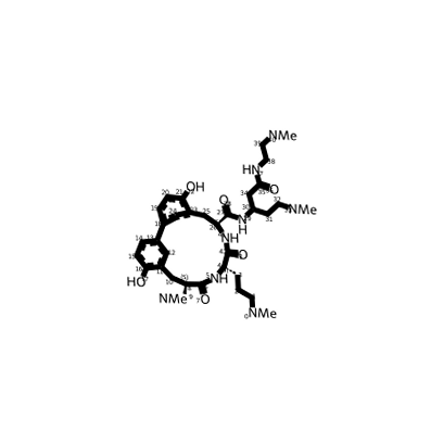 CNCCC[C@@H]1NC(=O)[C@@H](NC)Cc2cc(ccc2O)-c2ccc(O)c(c2)C[C@@H](C(=O)NC(CCNC)CC(=O)NCCNC)NC1=O